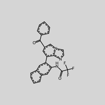 O=C(c1ccccc1)c1cc(-c2cc3ccccc3cc2NC(=O)C(F)(F)F)c2nccn2c1